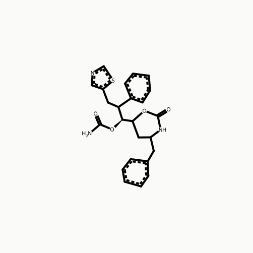 NC(=O)O[C@H](C1CC(Cc2ccccc2)NC(=O)O1)C(Cc1cncs1)c1ccccc1